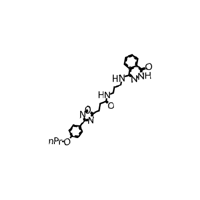 CCCOc1ccc(-c2noc(CCC(=O)NCCCNc3n[nH]c(=O)c4ccccc34)n2)cc1